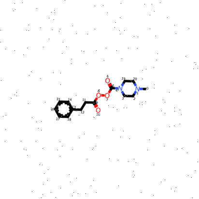 CN1CCN(C(=O)OOC(=O)CCc2ccccc2)CC1